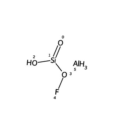 O=[Si](O)OF.[AlH3]